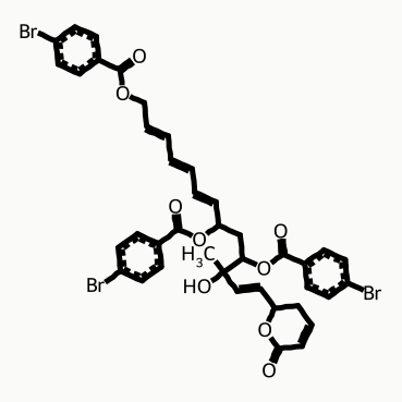 CC(O)(C=CC1CC=CC(=O)O1)C(CC(C=CC=CC=CCOC(=O)c1ccc(Br)cc1)OC(=O)c1ccc(Br)cc1)OC(=O)c1ccc(Br)cc1